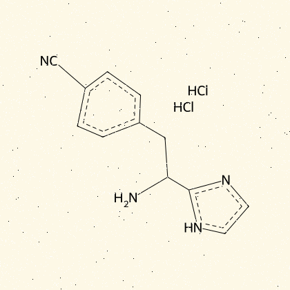 Cl.Cl.N#Cc1ccc(CC(N)c2ncc[nH]2)cc1